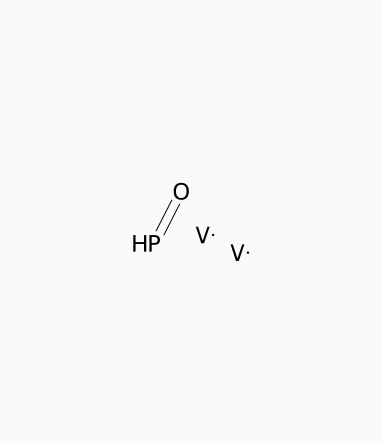 O=P.[V].[V]